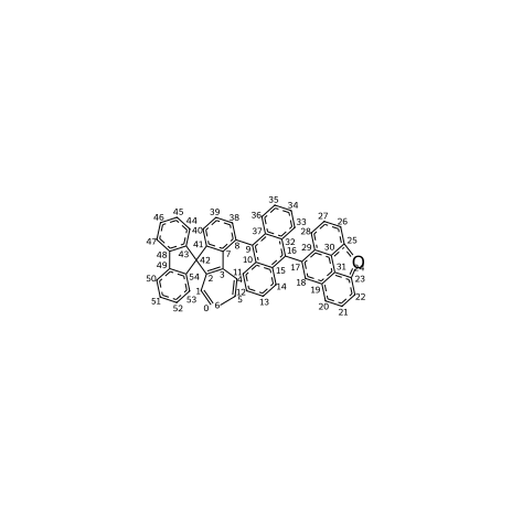 C=CC1=C(/C=C\C)c2c(-c3c4ccccc4c(-c4cc5cccc6oc7cccc4c7c56)c4ccccc34)cccc2C12c1ccccc1-c1ccccc12